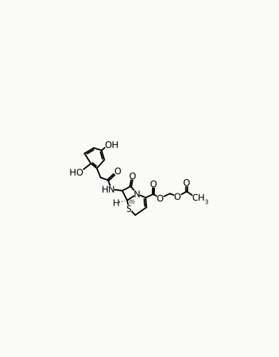 CC(=O)OCOC(=O)C1=CCS[C@H]2C(NC(=O)Cc3cc(O)ccc3O)C(=O)N12